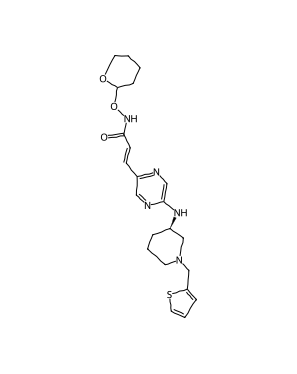 O=C(C=Cc1cnc(N[C@@H]2CCCN(Cc3cccs3)C2)cn1)NOC1CCCCO1